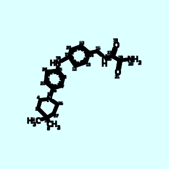 CC1(C)CCN(c2ccc(Nc3ccc(CNC(=O)C(N)=O)cc3)cc2)CC1